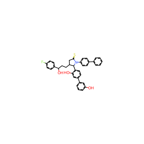 Oc1cccc(-c2ccc(C3C(CCC(O)c4ccc(F)cc4)CC(=S)N3c3ccc(-c4ccccc4)cc3)c(O)c2)c1